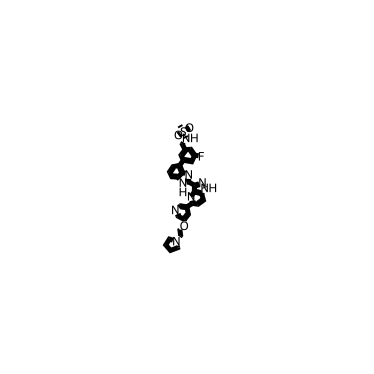 CS(=O)(=O)NCc1cc(F)cc(-c2cccc3[nH]c(-c4n[nH]c5ccc(-c6cncc(OCCN7CCCC7)c6)nc45)nc23)c1